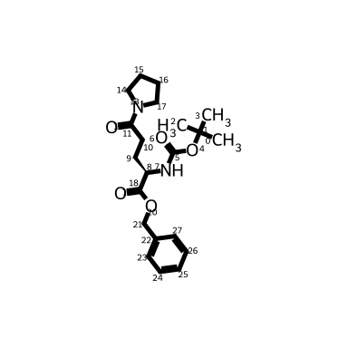 CC(C)(C)OC(=O)N[C@H](CCC(=O)N1CCCC1)C(=O)OCc1ccccc1